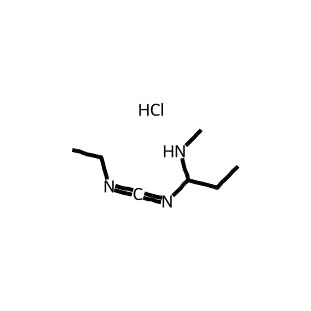 CCN=C=NC(CC)NC.Cl